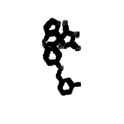 Cc1cccc(COc2ccc(Sc3ccoc3C3(C(C)C)NC(=O)NC3=O)cc2)c1